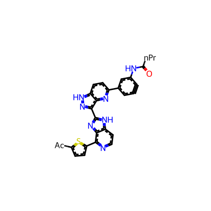 CCCC(=O)Nc1c#ccc(-c2ccc3[nH]nc(-c4nc5c(-c6ccc(C(C)=O)s6)nccc5[nH]4)c3n2)c1